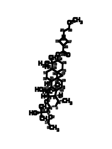 CCO[C@@H]([C@H]1C[C@@H](C)[C@H]2[C@H](O1)[C@H](O)[C@@]1(C)[C@@H]3CC[C@H]4C(C)(C)[C@@H](OC(=O)C5CN(CCOC)C5)CCC45C[C@@]35CC[C@]21C)C(C)(C)O